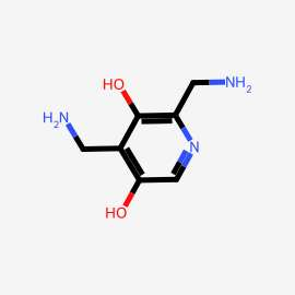 NCc1ncc(O)c(CN)c1O